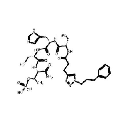 CC(C)C[C@H](NC(=O)CCc1cn(CCCc2ccccc2)nn1)C(=O)N[C@@H](Cc1cnc[nH]1)C(=O)N[C@@H](CO)C(=O)N[C@H](C(N)=O)[C@@H](C)OP(=O)(O)O